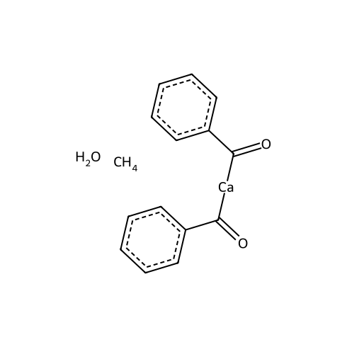 C.O.O=[C]([Ca][C](=O)c1ccccc1)c1ccccc1